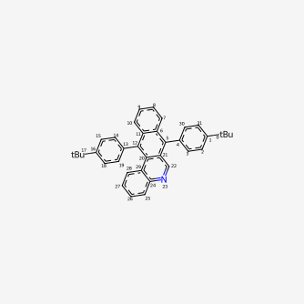 CC(C)(C)c1ccc(-c2c3ccccc3c(-c3ccc(C(C)(C)C)cc3)c3c2cnc2ccccc23)cc1